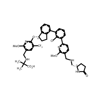 COc1nc(-c2cccc(-c3cccc4c3CC[C@@H]4Oc3nc(OC)c(CNC(C)(C)C(=O)O)cc3C(F)(F)F)c2Cl)ccc1CNC[C@@H]1CCC(=O)N1